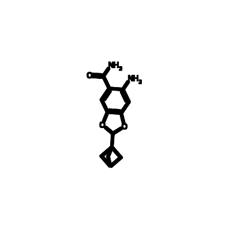 NC(=O)c1cc2c(cc1N)OC(C13CC(C1)C3)O2